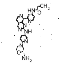 C=CC(=O)Nc1ccnc(-c2nccc3cnc(Nc4ccc(N5CCO[C@@H](CN)C5)nc4)nc23)c1